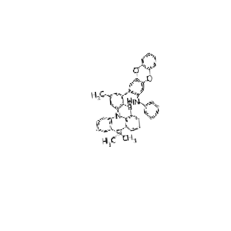 Cc1cc(-c2cc3c(cc2Nc2ccccc2)Oc2ccccc2O3)c2c(c1)N1c3ccccc3[Si](C)(C)c3cccc(c31)B2